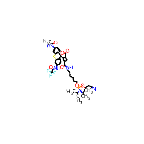 CC(=O)Nc1ccc2c(c1)Sc1cc(NC(=O)C(F)(F)F)ccc1C21OC(=O)c2ccc(C(=O)NCCCCCCOP(OCCC#N)N(C(C)C)C(C)C)cc21